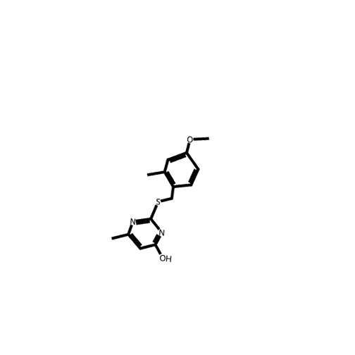 COc1ccc(CSc2nc(C)cc(O)n2)c(C)c1